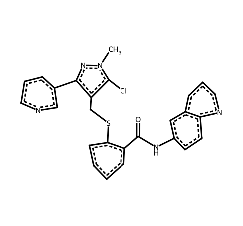 Cn1nc(-c2cccnc2)c(CSc2ccccc2C(=O)Nc2ccc3ncccc3c2)c1Cl